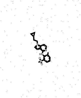 Cc1cccc(S(C)(=O)=O)c1Nc1nccc2c1ccn2CCC1CC1